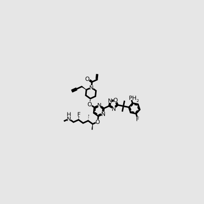 C#CC[C@@H]1C[C@@H](Oc2cc(O[C@@H](C)[C@@H](C)C[C@@H](F)CNC)nc(-c3noc(C(C)(C)c4cc(F)ccc4P)n3)n2)CCN1C(=O)C=C